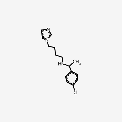 CC(NCCCCn1ccnc1)c1ccc(Cl)cc1